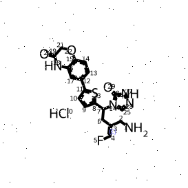 Cl.NC/C(=C/F)CC(c1ccc(-c2ccc3c(c2)NC(=O)CO3)s1)n1cn[nH]c1=O